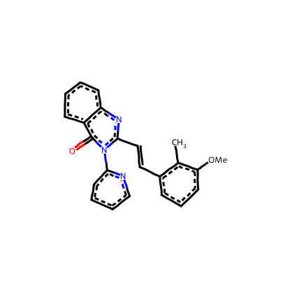 COc1cccc(/C=C/c2nc3ccccc3c(=O)n2-c2ccccn2)c1C